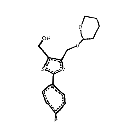 OCc1sc(-c2ccc(F)cc2)nc1COC1CCCCO1